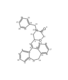 O=C1COC(C=C2c3ccccc3CCc3ccccc32)CN1Cc1ccccc1